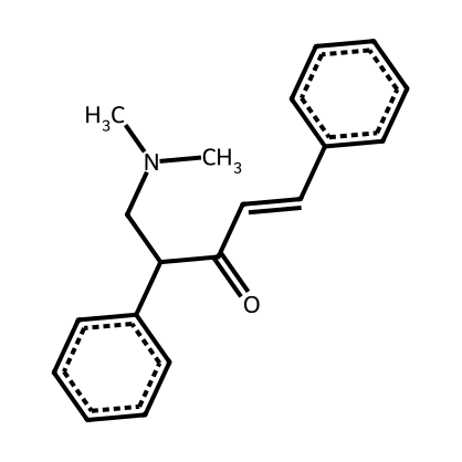 CN(C)CC(C(=O)C=Cc1ccccc1)c1ccccc1